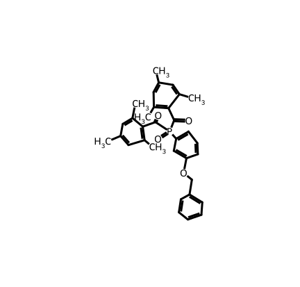 Cc1cc(C)c(C(=O)P(=O)(C(=O)c2c(C)cc(C)cc2C)c2cccc(OCc3ccccc3)c2)c(C)c1